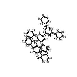 c1ccc(-c2cc(-c3cc(-c4ccccc4)c(-n4c5ccccc5c5cc6sc7ccccc7c6cc54)c(-c4ccccc4)c3)nc(-c3ccccc3)n2)cc1